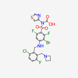 O=C(O)N(c1cscn1)S(=O)(=O)c1c(F)cc(NCc2c(Cl)ccc(F)c2CN2CCC2)c(Br)c1F